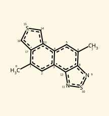 Cc1cc2c(cc(C)c3nsnc32)c2cscc12